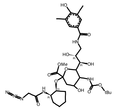 COC(=O)C1(O[C@H]2CCCC[C@H]2NC(=O)CN=[N+]=[N-])CC(O)C(NC(=O)OC(C)(C)C)C([C@H](O)[C@H](O)CNC(=O)c2cc(C)c(O)c(C)c2)O1